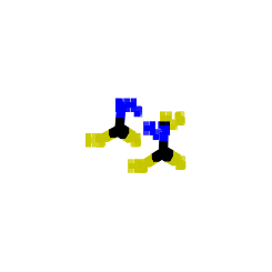 NC(=S)S.NC(=S)S.S